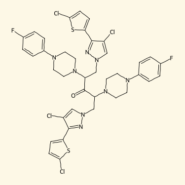 O=C(C(Cn1cc(Cl)c(-c2ccc(Cl)s2)n1)N1CCN(c2ccc(F)cc2)CC1)C(Cn1cc(Cl)c(-c2ccc(Cl)s2)n1)N1CCN(c2ccc(F)cc2)CC1